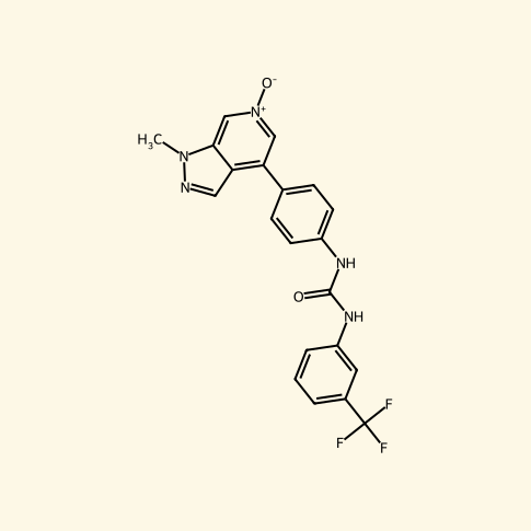 Cn1ncc2c(-c3ccc(NC(=O)Nc4cccc(C(F)(F)F)c4)cc3)c[n+]([O-])cc21